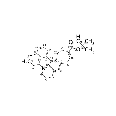 CCCN1CCCc2cc3c(c(-c4cccc(F)c4)c21)CCN(C(=O)OC(C)(C)C)CC3